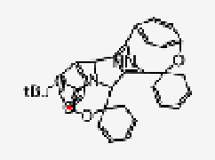 CC(C)(C)OC(=O)N1C2c3ccc(cc3)OC3(C=CC=CC3)C1c1c3[nH]c(c12)-c1ccc(cc1)OC31C=CC=CC1